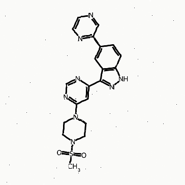 CS(=O)(=O)N1CCN(c2cc(-c3n[nH]c4ccc(-c5cnccn5)cc34)ncn2)CC1